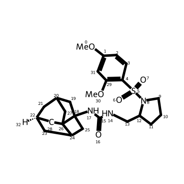 COc1ccc(S(=O)(=O)N2CCCC2CNC(=O)NC23CC4C[C@@H]5CC(C2)C3(C4)C5)c(OC)c1